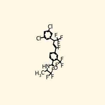 CC(NC(=O)c1ccc(/C(F)=C/C(c2cc(Cl)cc(Cl)c2)C(F)(F)F)cc1C(F)(F)F)C(F)(F)F